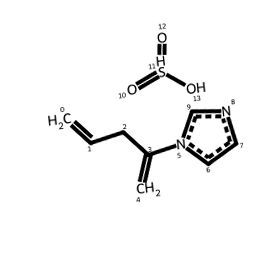 C=CCC(=C)n1ccnc1.O=[SH](=O)O